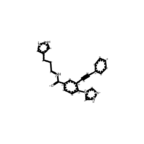 O=C(NCCCc1cn[nH]c1)c1ccc(-n2cnnc2)c(C#Cc2ccccc2)c1